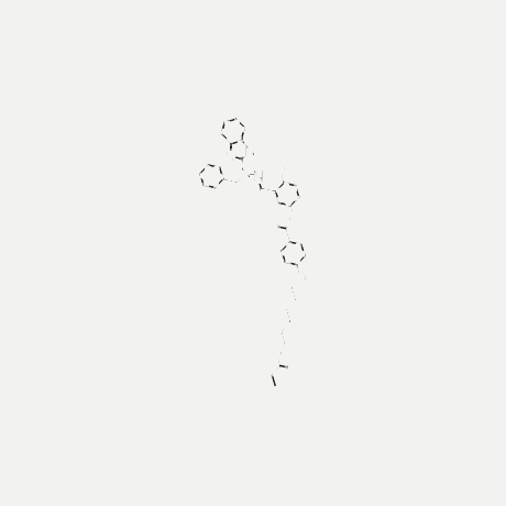 C=CC(=O)OCCCCCCOc1ccc(C(=O)Oc2ccc(OC)c(/C(C)=N/N(Cc3ccccc3)c3nc4ccccc4s3)c2)cc1